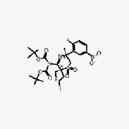 CC(C)(C)OC(=O)N(C(=O)OC(C)(C)C)C1=N[C@](C)(c2cc([N+](=O)[O-])ccc2F)CS(=O)(=O)[C@]1(CF)CCI